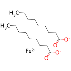 CCCCCCCCC(=O)[O-].CCCCCCCCC(=O)[O-].[Fe+2]